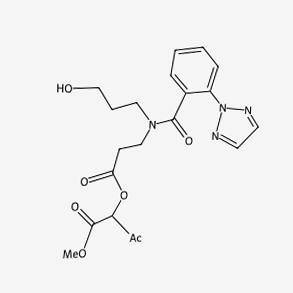 COC(=O)C(OC(=O)CCN(CCCO)C(=O)c1ccccc1-n1nccn1)C(C)=O